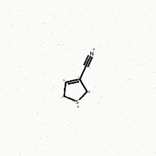 N#CC1=CCSC1